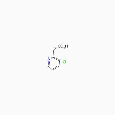 O=C(O)CC1=CC=CC=[N+]1.[Cl-]